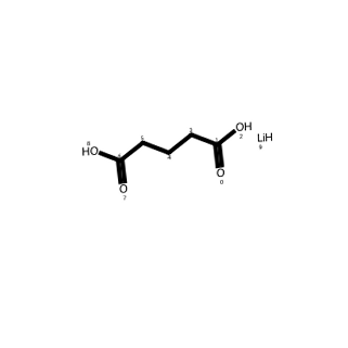 O=C(O)CCCC(=O)O.[LiH]